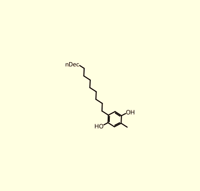 CCCCCCCCCCCCCCCCCCc1cc(O)c(C)cc1O